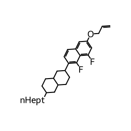 C=CCOc1cc(F)c2c(F)c(C3CCC4CC(CCCCCCC)CCC4C3)ccc2c1